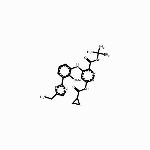 BC(B)(B)NC(=O)c1nnc(NC(=O)C2CC2)cc1Nc1cccc(-c2ncc(CN)s2)c1OC